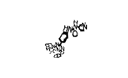 C[C@H]1COCCN1c1nc(OC2CCOC2)nc(-c2ccc(NC(=O)Nc3ccnnc3)cc2)n1